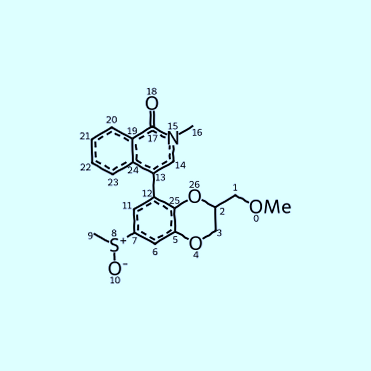 COCC1COc2cc([S+](C)[O-])cc(-c3cn(C)c(=O)c4ccccc34)c2O1